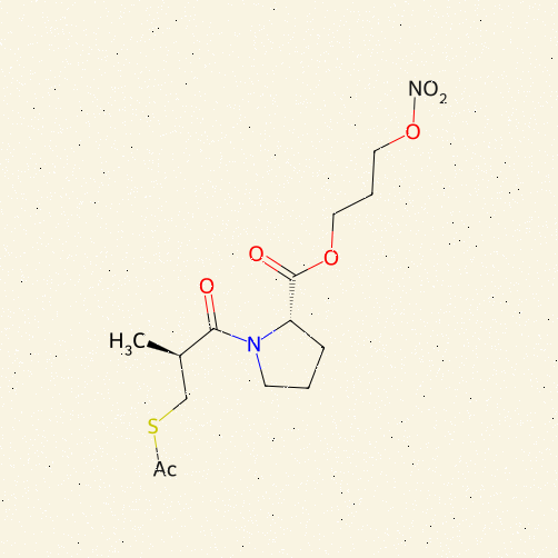 CC(=O)SC[C@@H](C)C(=O)N1CCC[C@H]1C(=O)OCCCO[N+](=O)[O-]